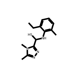 CCc1cccc(C)c1NC(S)c1nnc(C)n1C